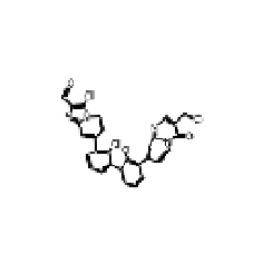 O=Cc1nc2cc(-c3cccc(-c4cccc(-c5ccn6c(=O)c(C=O)cnc6c5)c4Cl)c3Cl)ccn2c1Cl